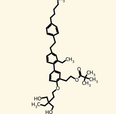 CCCCCc1ccc(CCc2ccc(-c3ccc(OCCC(CC)(CO)CO)c(CCOC(=O)C(C)(C)C)c3)c(CC)c2)cc1